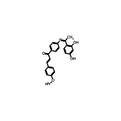 CCCOc1ccc(C=CC(=O)c2ccc(N=C(C)c3ccc(O)cc3O)cc2)cc1